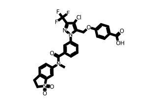 CN(C(=O)c1cccc(-n2nc(C(F)(F)F)c(Cl)c2COc2ccc(C(=O)O)cc2)c1)c1ccc2c(c1)S(=O)(=O)CC2